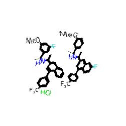 COc1cc(F)cc([C@@H](C)NC(C)c2cc(-c3ccc(C(F)(F)F)cc3)c3ccccc3c2)c1.COc1cccc([C@@H](C)NC(C)c2cc(-c3ccc(C(F)(F)F)cc3)c3ccc(F)cc3c2)c1.Cl